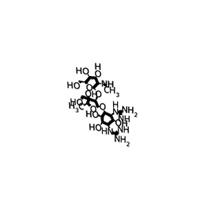 CN[C@@H]1[C@H](O[C@H]2[C@H](O[C@H]3[C@H](O)[C@@H](O)[C@H](NC(=N)N)[C@@H](O)[C@@H]3NC(=N)N)O[C@@H](C)[C@]2(O)CO)O[C@@H](CO)[C@H](O)[C@H]1O